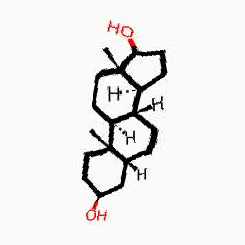 C[C@]12CC[C@H](O)C[C@H]1CC[C@@H]1[C@@H]2CC[C@]2(C)C(O)CC[C@@H]12